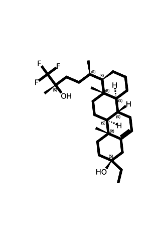 CC[C@]1(O)CC[C@@]2(C)C(=CC[C@H]3[C@@H]4CCC[C@H]([C@H](C)CC[C@](C)(O)C(F)(F)F)[C@@]4(C)CC[C@@H]32)C1